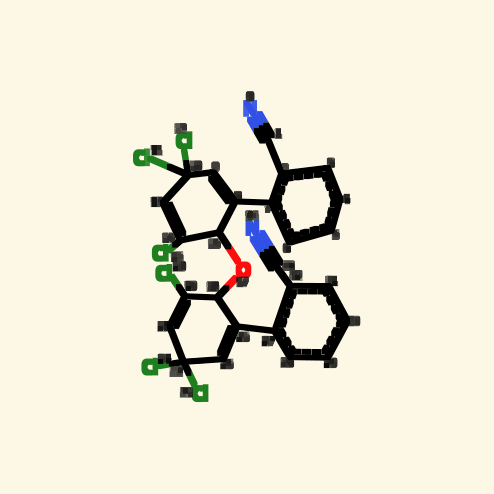 N#Cc1ccccc1C1=CC(Cl)(Cl)C=C(Cl)C1OC1C(Cl)=CC(Cl)(Cl)C=C1c1ccccc1C#N